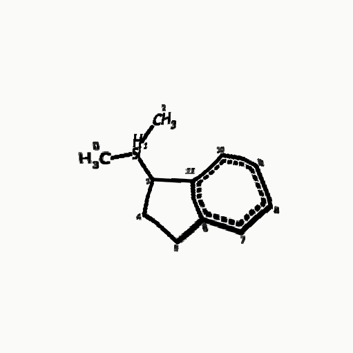 C[SiH](C)C1CCc2ccccc21